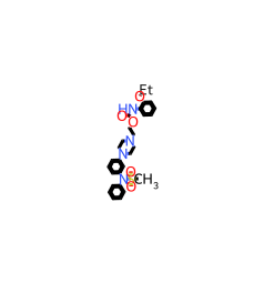 CCOc1ccccc1NC(=O)OCCN1CCN(c2cccc(N(c3ccccc3)S(C)(=O)=O)c2)CC1